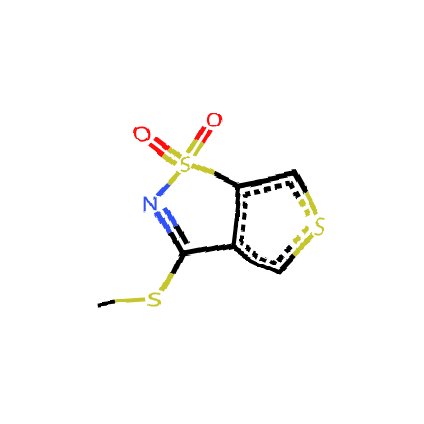 CSC1=NS(=O)(=O)c2cscc21